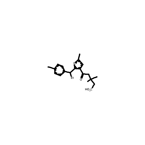 CCC(c1ccc(C)cc1)c1sc(C)cc1C(=O)CC(C)(C)CC(=O)O